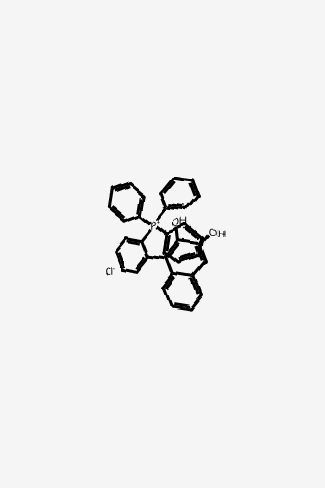 Oc1cc2ccccc2c(-c2ccccc2[P+](c2ccccc2)(c2ccccc2)c2ccccc2)c1O.[Cl-]